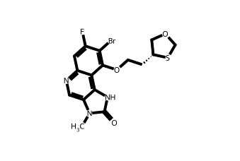 Cn1c(=O)[nH]c2c3c(OCC[C@@H]4COCS4)c(Br)c(F)cc3ncc21